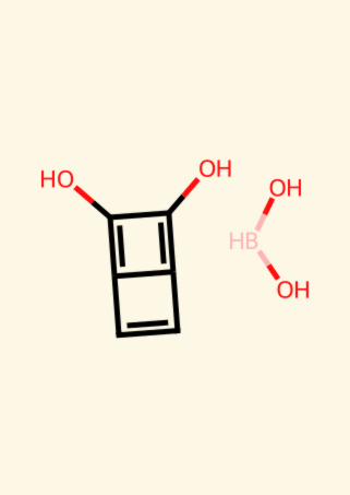 OBO.Oc1c2ccc-2c1O